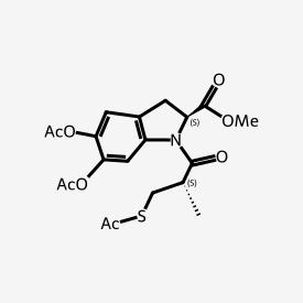 COC(=O)[C@@H]1Cc2cc(OC(C)=O)c(OC(C)=O)cc2N1C(=O)[C@H](C)CSC(C)=O